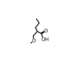 CCCC(COC)C(=O)O